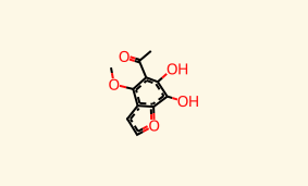 COc1c(C(C)=O)c(O)c(O)c2occc12